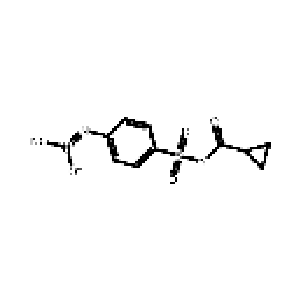 N#C/[N+]([O-])=N/c1ccc(S(=O)(=O)NC(=O)C2CC2)cc1